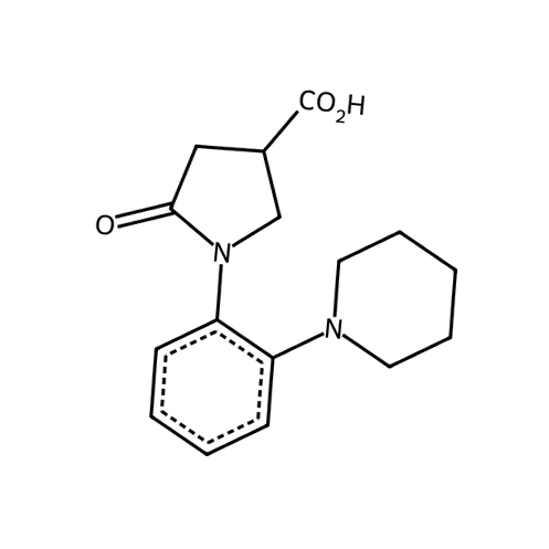 O=C(O)C1CC(=O)N(c2ccccc2N2CCCCC2)C1